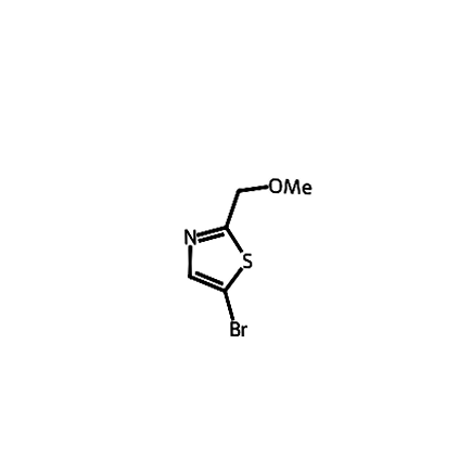 COCc1ncc(Br)s1